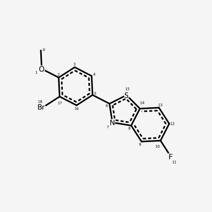 COc1ccc(-c2nc3cc(F)ccc3s2)cc1Br